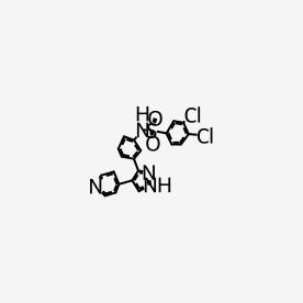 O=S(=O)(Nc1cccc(-c2n[nH]cc2-c2ccncc2)c1)c1ccc(Cl)c(Cl)c1